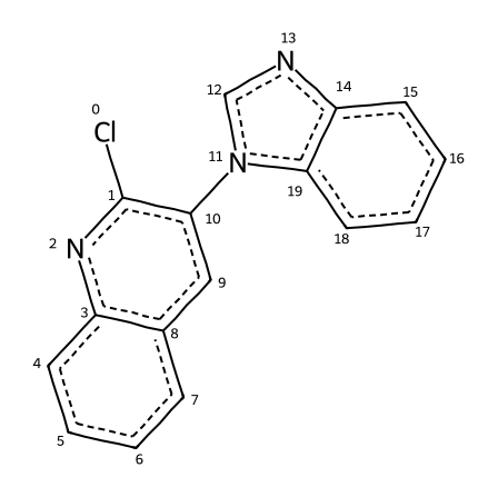 Clc1nc2ccccc2cc1-n1cnc2ccccc21